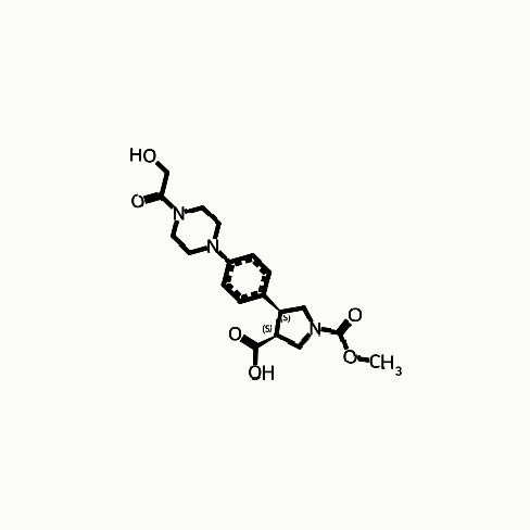 COC(=O)N1C[C@H](c2ccc(N3CCN(C(=O)CO)CC3)cc2)[C@H](C(=O)O)C1